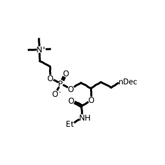 CCCCCCCCCCCCC(COP(=O)([O-])OCC[N+](C)(C)C)OC(=O)NCC